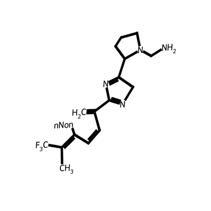 C=C(/C=C\C(CCCCCCCCC)=C(/C)C(F)(F)F)C1=NCC(C2CCCN2CN)=N1